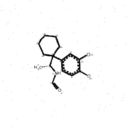 C[C@@H](NC=O)C1(c2ccc(Cl)c(Cl)c2)CCCCC1